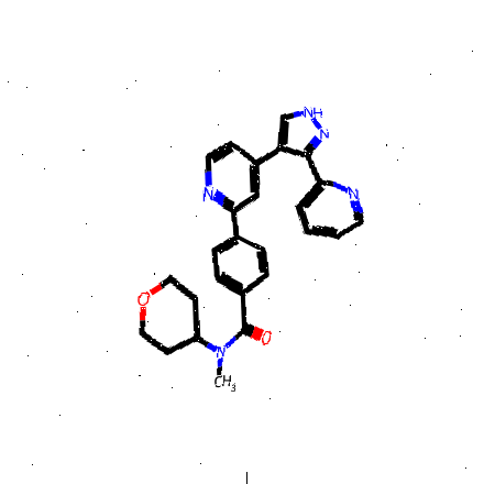 CN(C(=O)c1ccc(-c2cc(-c3c[nH]nc3-c3ccccn3)ccn2)cc1)C1CCOCC1